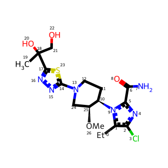 CCc1c(Cl)nc(C(N)=O)n1[C@@H]1CCN(c2nnc(C(C)(O)CO)s2)C[C@@H]1OC